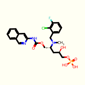 CN(Cc1cccc(F)c1Cl)[C@@H](COC(=O)Nc1cc2ccccc2cn1)C[C@@H](O)COP(=O)(O)O